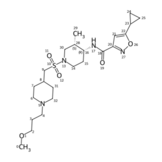 COCCCN1CCC(CS(=O)(=O)N2CC[C@@H](NC(=O)c3cc(C4CC4)on3)[C@@H](C)C2)CC1